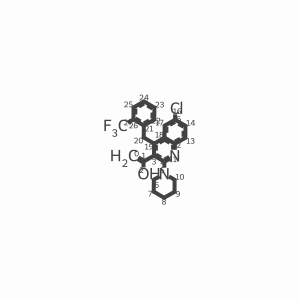 C=C(O)c1c(N2CCCCC2)nc2ccc(Cl)cc2c1Cc1ccccc1C(F)(F)F